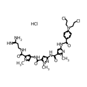 Cl.Cn1cc(NC(=O)c2cc(NC(=O)c3cc(NC(=O)c4ccc(N(CCCl)CCCl)cc4)nn3C)nn2C)cc1C(=O)NCCC(=N)N